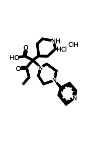 CCC(=O)C(C(=O)O)(C1CCNCC1)N1CCN(c2ccncc2)CC1.Cl.Cl